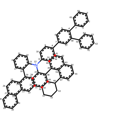 c1ccc(-c2ccc(-c3ccc(N(c4ccccc4-c4cccc5c4ccc4ccccc45)c4ccccc4-c4cccc5cccc(C6CCCCC6)c45)cc3)cc2-c2ccccc2)cc1